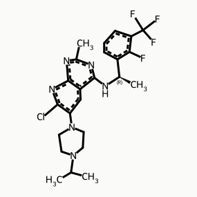 Cc1nc(N[C@H](C)c2cccc(C(F)(F)F)c2F)c2cc(N3CCN(C(C)C)CC3)c(Cl)nc2n1